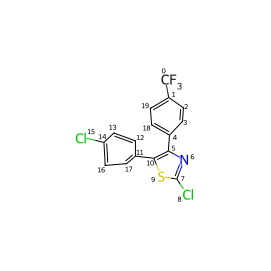 FC(F)(F)c1ccc(-c2nc(Cl)sc2-c2ccc(Cl)cc2)cc1